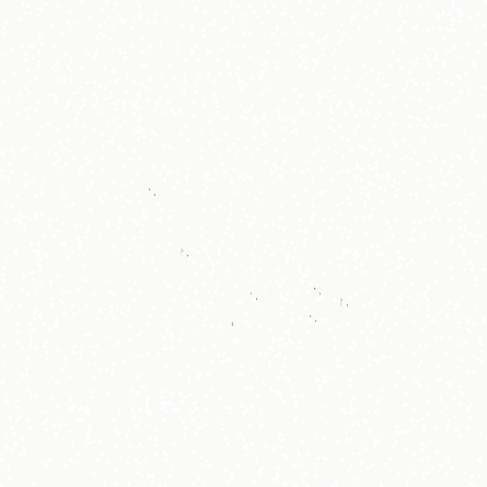 C[C@@H]1CCC(c2nc(C(N)=O)c(-c3ccccc3)o2)CN1C(=O)c1ccccc1-n1nccn1